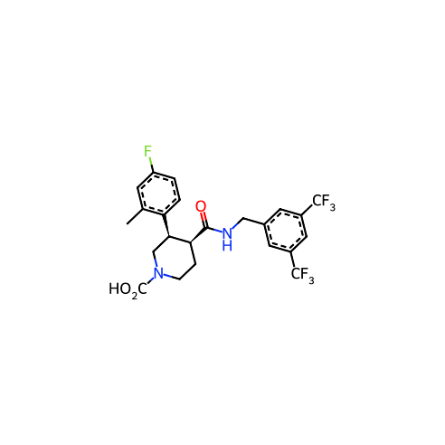 Cc1cc(F)ccc1[C@@H]1CN(C(=O)O)CC[C@@H]1C(=O)NCc1cc(C(F)(F)F)cc(C(F)(F)F)c1